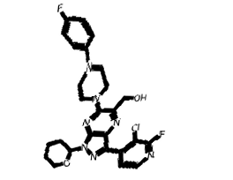 OCc1nc2c(-c3ccnc(F)c3Cl)nn(C3CCCCO3)c2nc1N1CCN(c2ccc(F)cc2)CC1